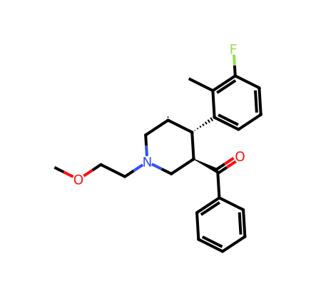 COCCN1C[CH][C@H](c2cccc(F)c2C)[C@@H](C(=O)c2ccccc2)C1